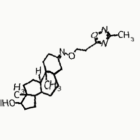 Cc1noc(CCON=C2CCC3(C)C(CCC4C5CCC(O)C5(C)CC[C@@H]43)C2)n1